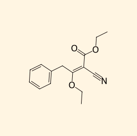 CCOC(=O)C(C#N)=C(Cc1ccccc1)OCC